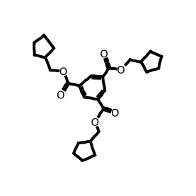 O=C(OCC1CCCC1)c1cc(C(=O)OCC2CCCC2)cc(C(=O)OCC2CCCC2)c1